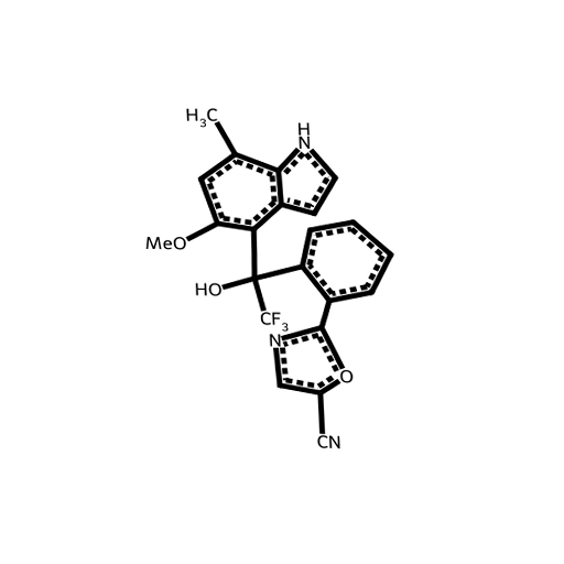 COc1cc(C)c2[nH]ccc2c1C(O)(c1ccccc1-c1ncc(C#N)o1)C(F)(F)F